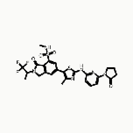 CNS(=O)(=O)c1cc(-c2sc(Nc3cccc(N4CCCC4=O)n3)nc2C)cc2c1C(=O)N(C(C)C(F)(F)F)C2